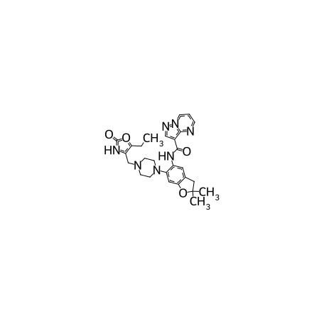 CCc1oc(=O)[nH]c1CN1CCN(c2cc3c(cc2NC(=O)c2cnn4cccnc24)CC(C)(C)O3)CC1